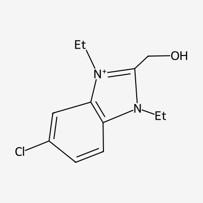 CCn1c(CO)[n+](CC)c2cc(Cl)ccc21